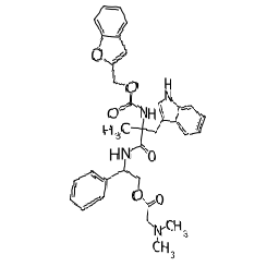 CN(C)CC(=O)OCC(NC(=O)C(C)(Cc1c[nH]c2ccccc12)NC(=O)OCc1cc2ccccc2o1)c1ccccc1